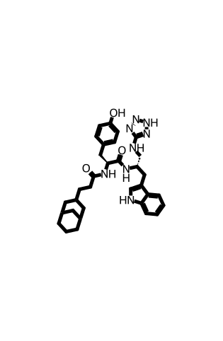 O=C(CCC1CC2CCCC(C2)C1)N[C@@H](Cc1ccc(O)cc1)C(=O)N[C@H](CNc1nn[nH]n1)Cc1c[nH]c2ccccc12